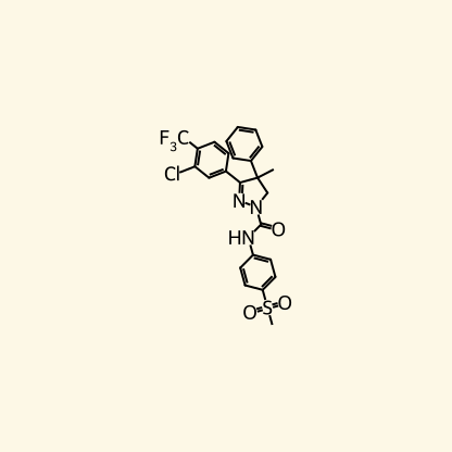 CC1(c2ccccc2)CN(C(=O)Nc2ccc(S(C)(=O)=O)cc2)N=C1c1ccc(C(F)(F)F)c(Cl)c1